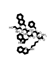 NC(=O)[C@H](CCCCNc1ccc2ccccc2n1)NC(=O)[C@@H](Cc1ccccc1)NC(=O)[C@H](Cc1c[nH]c2ccccc12)NC(=O)[C@@H](Cc1ccc2ccccc2c1)NC(=O)[C@H](N)CO